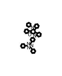 c1ccc(-c2nc(-c3ccccc3)nc(-c3ccc(-n4c5ccccc5c5c6c7ccccc7n(-c7ccccc7)c6c6c7ccccc7oc6c54)cc3)n2)cc1